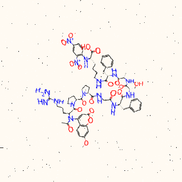 COc1ccc2c(N(C(C)=O)[C@@H](CCCNC(=N)N)C(=O)N3CCC[C@H]3C(=O)N3CCC[C@H]3C(=O)NCC(=O)N[C@@H](Cc3ccccc3)C(=O)N[C@@H](CO)C(=O)N[C@@H](C)C(=O)N[C@@H](Cc3ccccc3)C(=O)NCCCC[C@H](Nc3ccc([N+](=O)[O-])cc3[N+](=O)[O-])C(=O)O)cc(=O)oc2c1